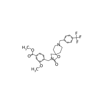 COC(=O)c1ccc(CN2CC3(CCN(Cc4ccc(C(F)(F)F)cc4)CC3)OC2=O)c(OC)c1